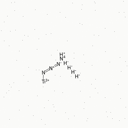 [H-].[H-].[H-].[H-].[N-]=[N+]=[N][Ti+3].[NH4+]